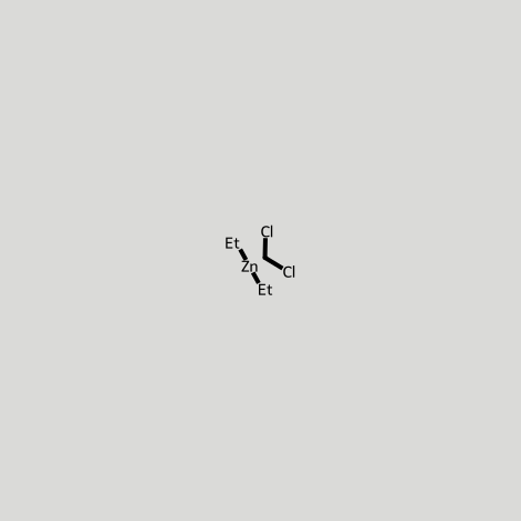 C[CH2][Zn][CH2]C.ClCCl